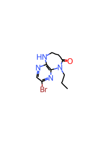 CCCN1C(=O)CCNc2ncc(Br)nc21